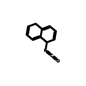 O=C=NC1C=CC=C2CC=CC=C21